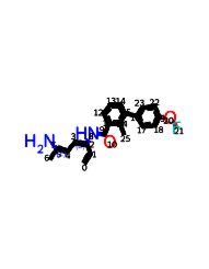 C=C/C(=C\C=C(\C)N)NC(=O)c1cccc(-c2ccc(OF)cc2)c1C